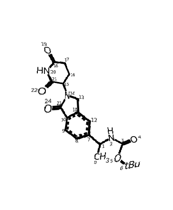 CC(NC(=O)OC(C)(C)C)c1ccc2c(c1)CN(C1CCC(=O)NC1=O)C2=O